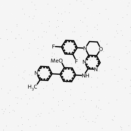 COc1cc(Nc2ncc3c(n2)N(c2ccc(F)cc2F)CCO3)ccc1-c1ccnc(C)c1